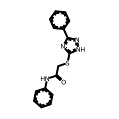 O=C(CSc1nc(-c2ccccc2)n[nH]1)Nc1ccccc1